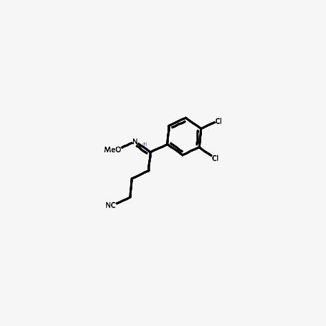 CO/N=C(\CCCC#N)c1ccc(Cl)c(Cl)c1